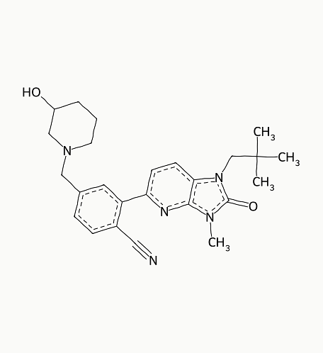 Cn1c(=O)n(CC(C)(C)C)c2ccc(-c3cc(CN4CCCC(O)C4)ccc3C#N)nc21